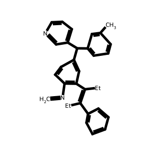 C=Nc1ccc(C(c2cccnc2)c2cccc(C)c2)cc1/C(CC)=C(\CC)c1ccccc1